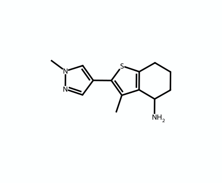 Cc1c(-c2cnn(C)c2)sc2c1C(N)CCC2